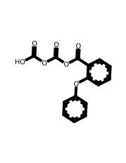 O=C(O)OC(=O)OC(=O)c1ccccc1Oc1ccccc1